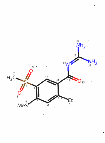 CCc1cc(SC)c(S(C)(=O)=O)cc1C(=O)N=C(N)N